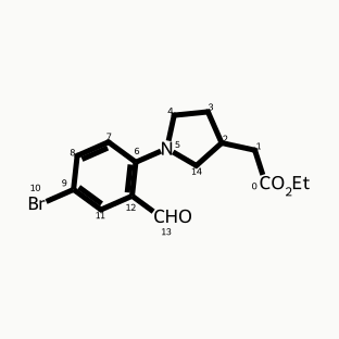 CCOC(=O)CC1CCN(c2ccc(Br)cc2C=O)C1